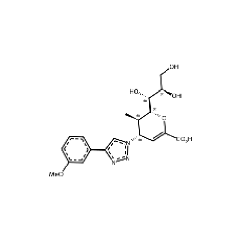 COc1cccc(-c2cn([C@H]3C=C(C(=O)O)O[C@@H]([C@H](O)[C@H](O)CO)[C@@H]3C)nn2)c1